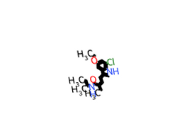 CCOc1cc(Cl)c2[nH]cc(CCC(CC)C(=O)NC(C)CC)c2c1